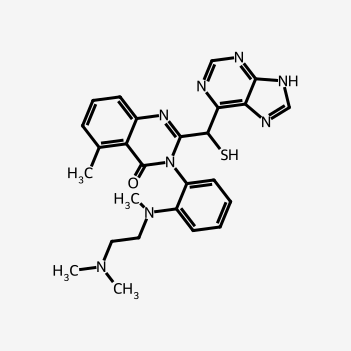 Cc1cccc2nc(C(S)c3ncnc4[nH]cnc34)n(-c3ccccc3N(C)CCN(C)C)c(=O)c12